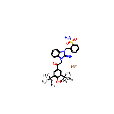 Br.CC(C)(C)c1cc(C(=O)Cn2c(=N)n(Cc3ccccc3S(N)(=O)=O)c3ccccc32)cc(C(C)(C)C)c1O